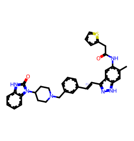 Cc1cc2[nH]nc(/C=C/c3cccc(CN4CCC(n5c(=O)[nH]c6ccccc65)CC4)c3)c2cc1NC(=O)Cc1cccs1